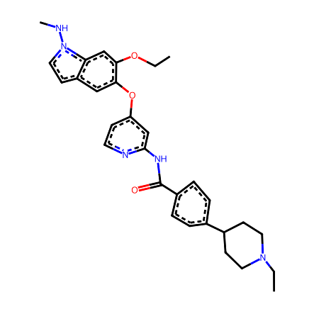 CCOc1cc2c(ccn2NC)cc1Oc1ccnc(NC(=O)c2ccc(C3CCN(CC)CC3)cc2)c1